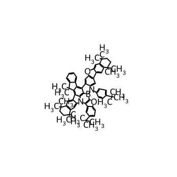 CC(C)(C)c1ccc(N2B3c4oc5ccc(C(C)(C)C)cc5c4-n4c5cc6c(cc5c5c7c(c(c3c54)-c3cc4oc5cc8c(cc5c4cc32)C(C)(C)CCC8(C)C)-c2ccccc2C7(C)C)C(C)(C)CCC6(C)C)cc1